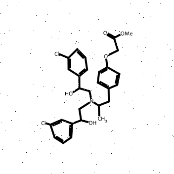 COC(=O)COc1ccc(CC(C)N(CC(O)c2cccc(Cl)c2)CC(O)c2cccc(Cl)c2)cc1